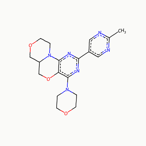 Cc1ncc(-c2nc(N3CCOCC3)c3c(n2)N2CCOCC2CO3)cn1